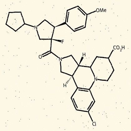 COc1ccc([C@@H]2CN(C3CCCC3)C[C@@]2(F)C(=O)N2C[C@@H]3c4ccc(Cl)cc4N4CCC(C(=O)O)CC4[C@H]3C2)cc1